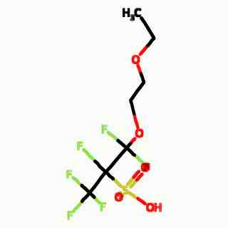 CCOCCOC(F)(F)C(F)(C(F)(F)F)S(=O)(=O)O